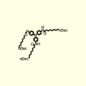 CCCCCCCCCCCCCCCCCO/C=N\c1ccc(N(c2ccc(NC(=O)CCCCCCCCCCCCCCCCC)cc2)c2ccc(NC(=O)CCCCCCCCCCCCCCCCC)cc2)cc1